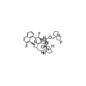 C#Cc1c(F)ccc2cccc(-c3nc4c5c(nc(OC[C@@]67CCCN6C[C@H](F)C7)nc5c3F)N3C[C@H]5CC[C@@H]([C@H]3CC[C@H]4C)N5C(=O)OC(C)(C)C)c12